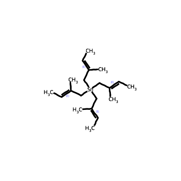 C/C=C(\C)[CH2][Sn]([CH2]/C(C)=C/C)([CH2]/C(C)=C/C)[CH2]/C(C)=C/C